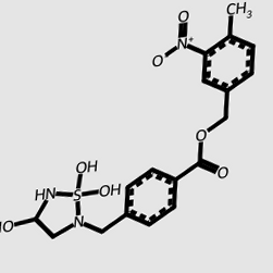 Cc1ccc(COC(=O)c2ccc(CN3CC(O)NS3(O)O)cc2)cc1[N+](=O)[O-]